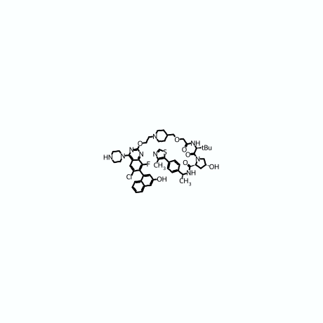 Cc1ncsc1-c1ccc([C@H](C)NC(=O)[C@@H]2C[C@@H](O)CN2C(=O)[C@@H](NC(=O)COCC2CCN(CCOc3nc(N4CCNCC4)c4cc(Cl)c(-c5cc(O)cc6ccccc56)c(F)c4n3)CC2)C(C)(C)C)cc1